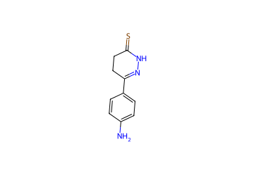 Nc1ccc(C2=NNC(=S)CC2)cc1